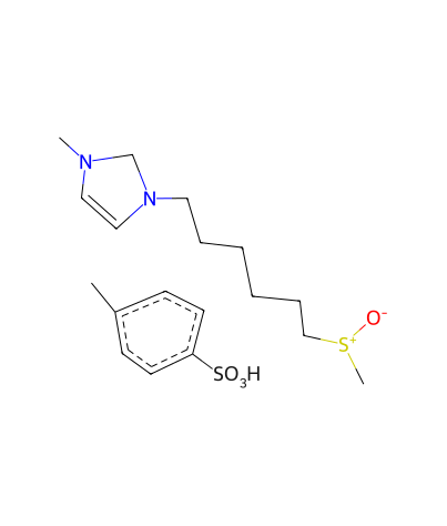 CN1C=CN(CCCCCC[S+](C)[O-])C1.Cc1ccc(S(=O)(=O)O)cc1